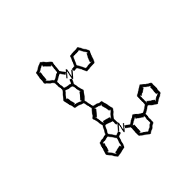 C1=CC2c3cc(C4=CC5C(C=C4)C4C=CC=CC4N5C4CC=CCC4)ccc3N(C3=CCCC(c4ccccc4)=C3)C2C=C1